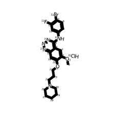 COc1cc2c(Nc3ccc(Br)c(F)c3)nnnc2cc1OCCCN1CCCCC1.Cl